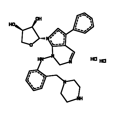 Cl.Cl.O[C@@H]1[C@H](O)CO[C@H]1n1cc(-c2ccccc2)c2c1N(Nc1ccccc1CN1CCNCC1)CN=C2